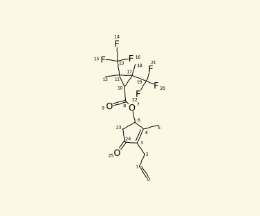 C=CCC1=C(C)C(OC(=O)C2C(C)(C(F)(F)F)C2(C)C(F)(F)F)CC1=O